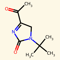 CC(=O)C1=NC(=O)N(C(C)(C)C)C1